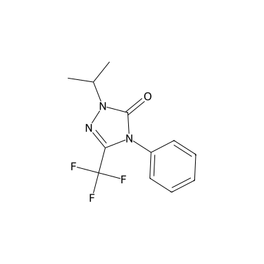 CC(C)n1nc(C(F)(F)F)n(-c2ccccc2)c1=O